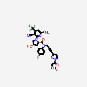 C=CC(=O)n1ccc(C#CCN(C(=O)[C@@H]2C[C@H](O)CN2c2nc(C)cc(C(F)(F)F)c2C#N)c2ccc(F)cc2)n1